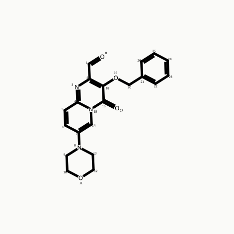 O=Cc1nc2ccc(N3CCOCC3)cn2c(=O)c1OCc1ccccc1